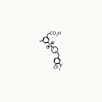 Cc1cc(CC(=O)O)cc(S(=O)(=O)N2CCN(Cc3ccc(C(F)(F)F)c(F)c3)CC2)c1